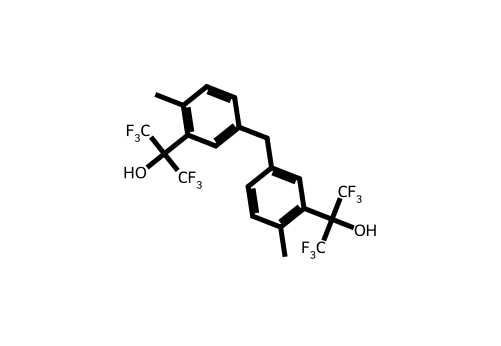 Cc1ccc(Cc2ccc(C)c(C(O)(C(F)(F)F)C(F)(F)F)c2)cc1C(O)(C(F)(F)F)C(F)(F)F